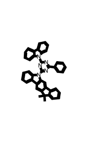 CC1(C)c2ccccc2-c2cc3c(cc21)c1ccccc1n3-c1nc(-c2ccccc2)nc(-n2c3ccccc3c3ccccc32)n1